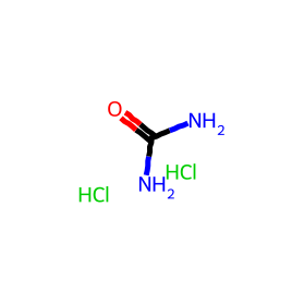 Cl.Cl.NC(N)=O